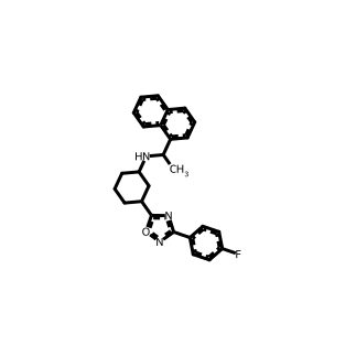 CC(NC1CCCC(c2nc(-c3ccc(F)cc3)no2)C1)c1cccc2ccccc12